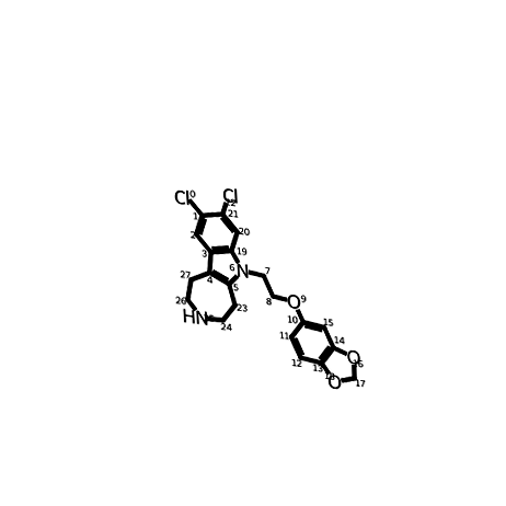 Clc1cc2c3c(n(CCOc4ccc5c(c4)OCO5)c2cc1Cl)CCNCC3